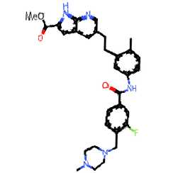 COC(=O)c1cc2cc(CCc3cc(NC(=O)c4ccc(CN5CCN(C)CC5)c(F)c4)ccc3C)cnc2[nH]1